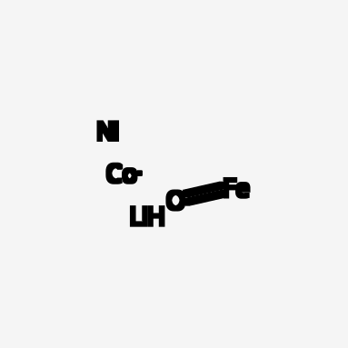 [Co].[LiH].[Ni].[O]=[Fe]